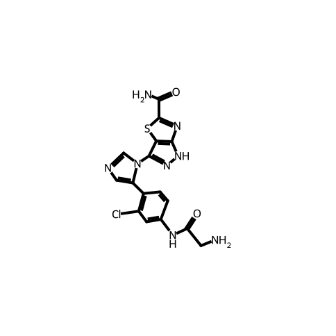 NCC(=O)Nc1ccc(-c2cncn2-c2n[nH]c3nc(C(N)=O)sc23)c(Cl)c1